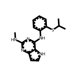 CNc1nc(Nc2ccccc2SC(C)C)c2[nH]ccc2n1